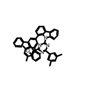 Cc1cc(C)cc(-c2nc(-c3cc(C)cc(C)c3)nc(-n3c4ccccc4c4cccc(-c5cc(-c6ccccc6)c6oc7ccccc7c6c5)c43)n2)c1